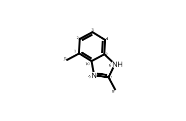 [CH2]c1cccc2[nH]c(C)nc12